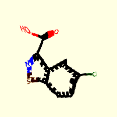 O=C(O)c1nsc2ccc(Cl)cc12